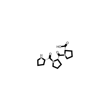 O=C(O)[C@@H]1CCCN1C(=O)[C@@H]1CCCN1C(=O)[C@@H]1CCCN1